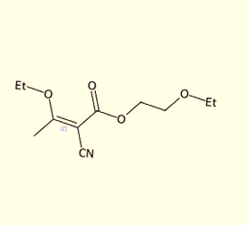 CCOCCOC(=O)/C(C#N)=C(/C)OCC